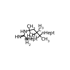 CCCCCCCC(C)(CCCCCCC)C(C)(C)CC(C)(C)NC(=N)N